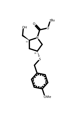 COc1ccc(CS[C@@H]2C[C@@H](CO)N(C(=O)OC(C)(C)C)C2)cc1